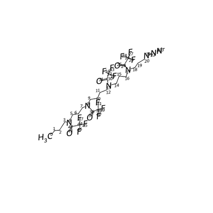 CCCCN(CCCN(CCCCN(CCCN(CCCN=[N+]=[N-])C(=O)C(F)(F)F)C(=O)C(F)(F)F)C(=O)C(F)(F)F)C(=O)C(F)(F)F